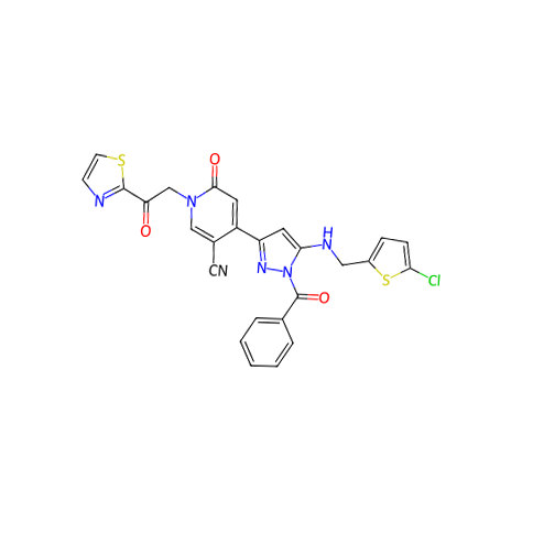 N#Cc1cn(CC(=O)c2nccs2)c(=O)cc1-c1cc(NCc2ccc(Cl)s2)n(C(=O)c2ccccc2)n1